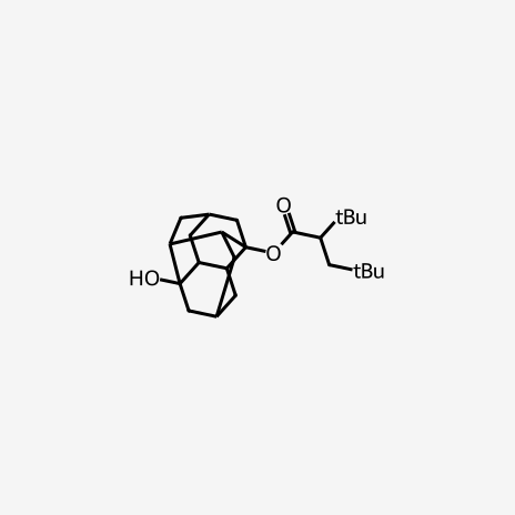 CC(C)(C)CC(C(=O)OC12CC3CC4C1CC1CC2C(C3)C4(O)C1)C(C)(C)C